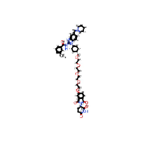 O=C1CCC(N2C(=O)c3ccc(OCCOCCOCCOCCOC[C@H]4CC[C@@H](n5c(NC(=O)c6cccc(C(F)(F)F)c6)nc6cc(CN7CCCCC7)ccc65)CC4)cc3C2=O)C(=O)N1